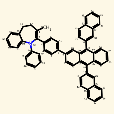 CC1=C(c2ccc(-c3ccc4c(-c5ccc6ccccc6c5)c5ccccc5c(-c5ccc6ccccc6c5)c4c3)cc2)N(c2ccccc2)c2ccccc2CC1